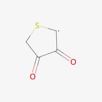 O=C1[CH]SCC1=O